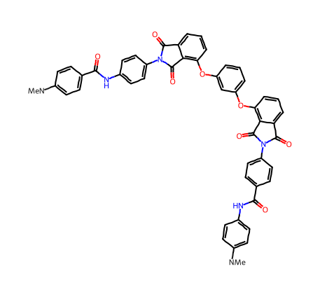 CNc1ccc(NC(=O)c2ccc(N3C(=O)c4cccc(Oc5cccc(Oc6cccc7c6C(=O)N(c6ccc(NC(=O)c8ccc(NC)cc8)cc6)C7=O)c5)c4C3=O)cc2)cc1